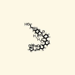 COc1nc(-c2ccnc(-c3cccc(NC(=O)c4ncc(CNCCO)cc4C)c3C)c2Cl)ccc1CNC[C@@H]1CCC(=O)N1